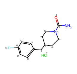 Cl.NC(=O)N1CCC(Cc2ccc(F)cc2)CC1